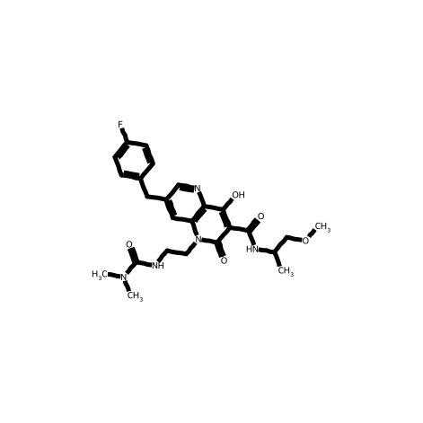 COCC(C)NC(=O)c1c(O)c2ncc(Cc3ccc(F)cc3)cc2n(CCNC(=O)N(C)C)c1=O